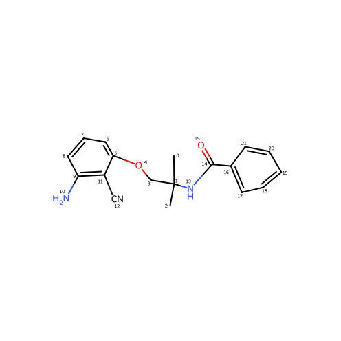 CC(C)(COc1cccc(N)c1C#N)NC(=O)c1ccccc1